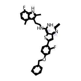 C=C/N=C1/C=C(c2ccc(OCc3ccccc3)cc2F)S/C1=C(/N)NCCc1c(C)[nH]c2c(F)ccc(C)c12